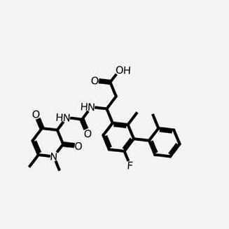 CC1=CC(=O)C(NC(=O)NC(CC(=O)O)c2ccc(F)c(-c3ccccc3C)c2C)C(=O)N1C